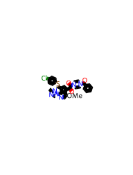 COc1cnc(-n2cnc(C)n2)c2c1C(C(=O)C(=O)N1CCN(C(=O)c3ccccc3)CC1)=CC2CSc1ccc(Cl)cc1